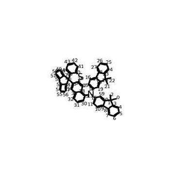 CC1(C)c2ccccc2-c2ccc(N(c3ccc4c(c3)C(C)(C)c3ccccc3-4)c3cccc4cc5c(cc34)Sc3ccccc3C53c4ccccc4-c4ccccc43)cc21